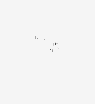 Cl.Cl.NC(CC(c1ccccc1)c1ccccc1)=NOCC(O)CN1CCCC1